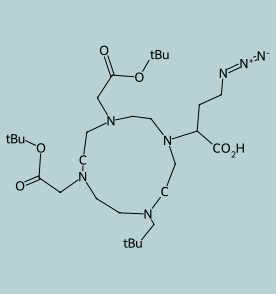 CC(C)(C)CN1CCN(CC(=O)OC(C)(C)C)CCN(CC(=O)OC(C)(C)C)CCN(C(CCN=[N+]=[N-])C(=O)O)CC1